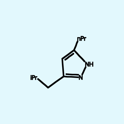 CCCc1cc(CC(C)C)n[nH]1